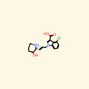 O=C(O)c1cn(C/C=C/[C@H]2NCCC[C@@H]2O)c2cccc(Cl)c12